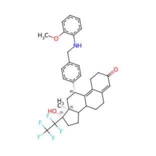 COc1ccccc1NCc1ccc([C@H]2C[C@@]3(C)C(CC[C@@]3(O)C(F)(F)C(F)(F)F)C3CCC4=CC(=O)CCC4=C32)cc1